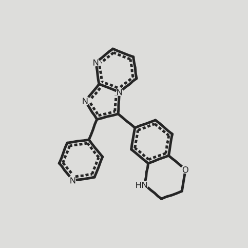 c1cnc2nc(-c3ccncc3)c(-c3ccc4c(c3)NCCO4)n2c1